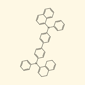 C1=CC2=C(CC1)C(N(c1ccccc1)c1ccc(-c3ccc(N(c4ccccc4)c4cccc5ccccc45)cc3)cc1)=CCC2